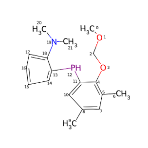 COCOc1c(C)cc(C)cc1Pc1ccccc1N(C)C